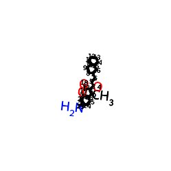 Cc1c(C(=O)C=Cc2ccc3ccccc3c2)c(=O)oc2cc(N)ccc12